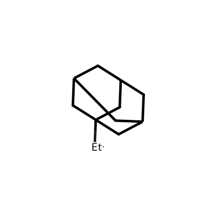 C[CH]C12CC3CC(CC(C3)C1)C2